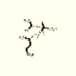 CC(C)[C@H](N)C(=O)O.C[C@H](N)C(=O)O.N[C@@H](CCC(=O)O)C(=O)O